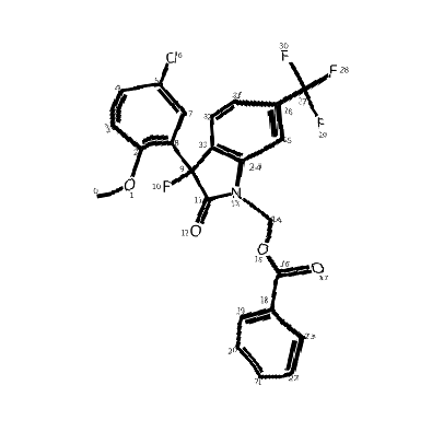 COc1ccc(Cl)cc1C1(F)C(=O)N(COC(=O)c2ccccc2)c2cc(C(F)(F)F)ccc21